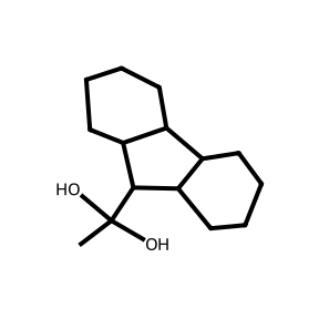 CC(O)(O)C1C2CCCCC2C2CCCCC21